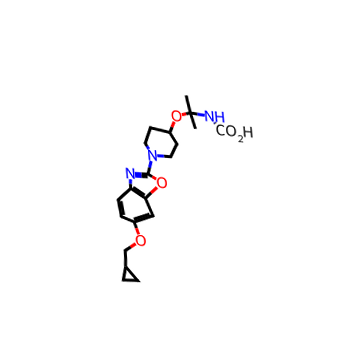 CC(C)(NC(=O)O)OC1CCN(c2nc3ccc(OCC4CC4)cc3o2)CC1